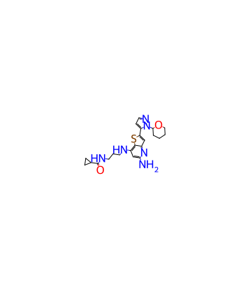 Nc1cc(NCCCNC(=O)C2CC2)c2sc(-c3ccnn3C3CCCCO3)cc2n1